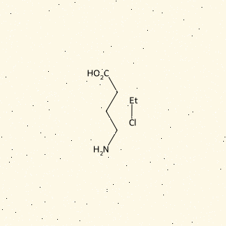 CCCl.NCCCC(=O)O